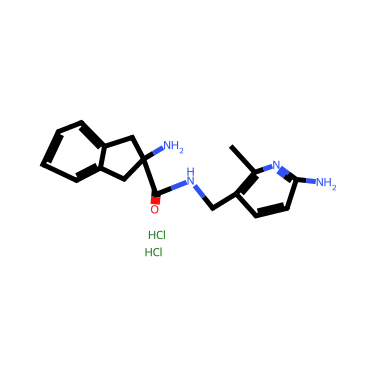 Cc1nc(N)ccc1CNC(=O)C1(N)Cc2ccccc2C1.Cl.Cl